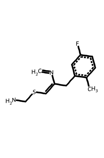 C=N/C(=C\SCN)Cc1cc(F)ccc1C